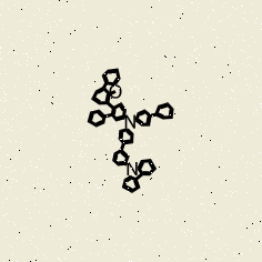 c1ccc(-c2ccc(N(c3ccc(-c4cccc(-n5c6ccccc6c6ccccc65)c4)cc3)c3ccc(-c4cccc5c4oc4ccccc45)c(-c4ccccc4)c3)cc2)cc1